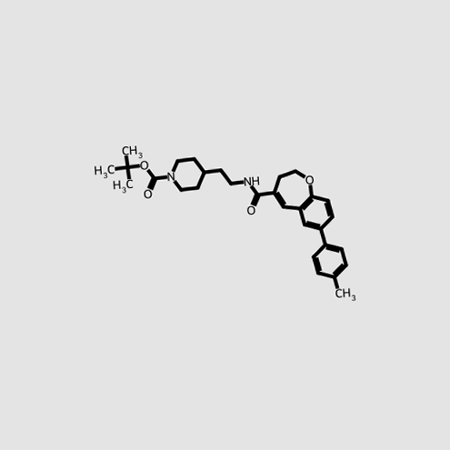 Cc1ccc(-c2ccc3c(c2)C=C(C(=O)NCCC2CCN(C(=O)OC(C)(C)C)CC2)CCO3)cc1